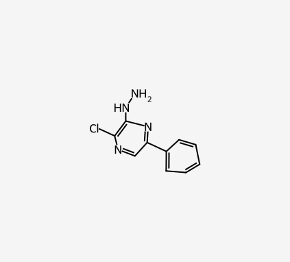 NNc1nc(-c2ccccc2)cnc1Cl